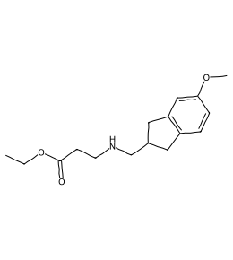 CCOC(=O)CCNCC1Cc2ccc(OC)cc2C1